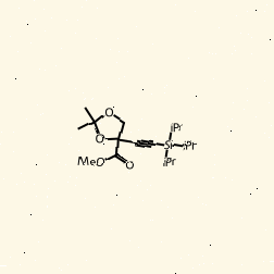 COC(=O)C1(C#C[Si](C(C)C)(C(C)C)C(C)C)COC(C)(C)O1